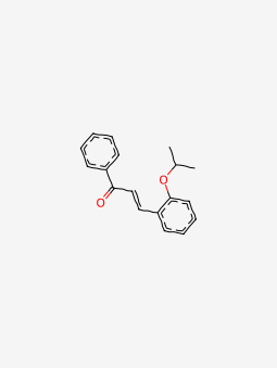 CC(C)Oc1ccccc1C=CC(=O)c1ccccc1